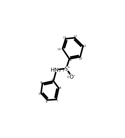 [O-][S+](Nc1c[c]ccc1)c1ccccc1